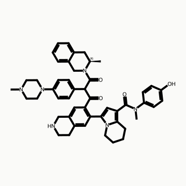 C[C@@H]1Cc2ccccc2CN1C(=O)C(C(=O)c1cc2c(cc1-c1cc(C(=O)N(C)c3ccc(O)cc3)c3n1CCCC3)CCNC2)c1ccc(N2CCN(C)CC2)cc1